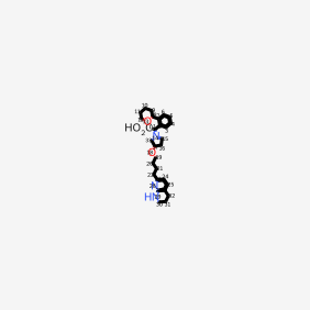 O=C(O)C(c1ccccc1C1CCCCO1)N1CCC(OCCCCc2ccc3c(n2)NCCC3)C1